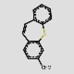 O=Cc1ccc2c(c1)Sc1ccccc1C=C2